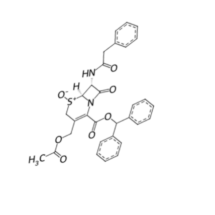 CC(=O)OCC1=C(C(=O)OC(c2ccccc2)c2ccccc2)N2C(=O)[C@@H](NC(=O)Cc3ccccc3)[C@@H]2[S+]([O-])C1